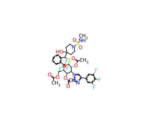 CNS(=O)(=O)N1CCC(O)(C(S[C@@H]2O[C@H](COC(C)=O)[C@H](OC(C)=O)[C@H](n3cc(-c4cc(F)c(F)c(F)c4)nn3)[C@H]2OC(C)=O)c2ccccc2C(F)(F)F)CC1